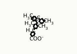 Cc1ccc([S+](c2ccc(C)cc2C)c2ccc(C)cc2C)c(C)c1.O=C([O-])c1ccccc1